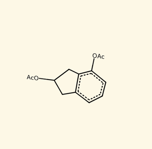 CC(=O)Oc1cccc2c1CC(OC(C)=O)C2